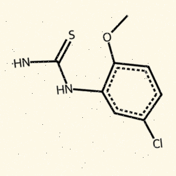 COc1ccc(Cl)cc1NC([NH])=S